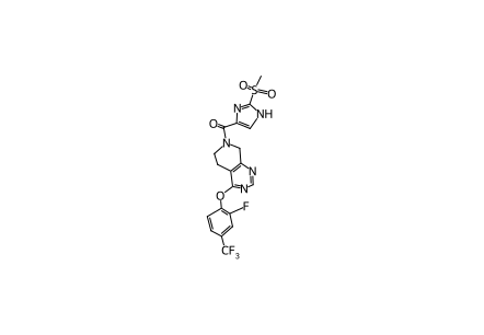 CS(=O)(=O)c1nc(C(=O)N2CCc3c(ncnc3Oc3ccc(C(F)(F)F)cc3F)C2)c[nH]1